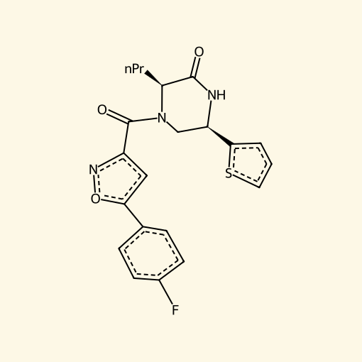 CCC[C@H]1C(=O)N[C@@H](c2cccs2)CN1C(=O)c1cc(-c2ccc(F)cc2)on1